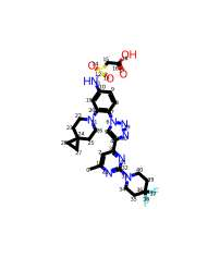 Cc1cc(-c2cn(-c3ccc(NS(=O)(=O)CC(=O)O)cc3N3CCC4(CC3)CC4)nn2)nc(N2CCC(F)(F)CC2)n1